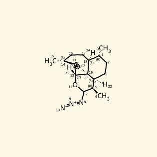 C[C@@H]1CC[C@H]2[C@@H](C)C(N=[N+]=[N-])O[C@@H]3O[C@]4(C)CC[C@@H]1[C@]32OO4